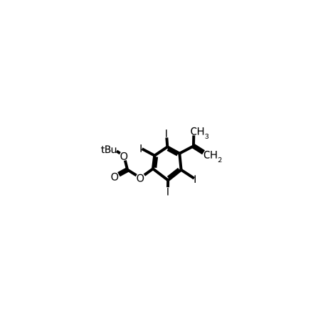 C=C(C)c1c(I)c(I)c(OC(=O)OC(C)(C)C)c(I)c1I